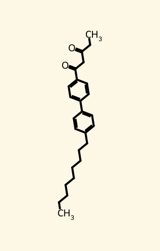 CCCCCCCCCc1ccc(-c2ccc(C(=O)CC(=O)CC)cc2)cc1